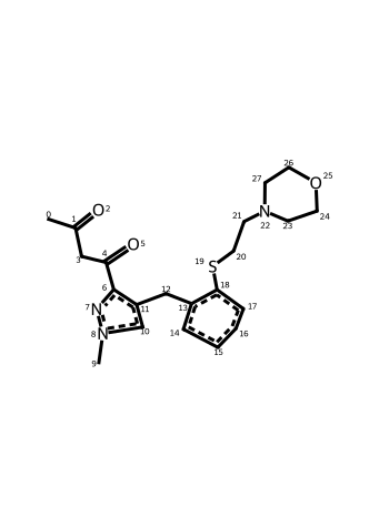 CC(=O)CC(=O)c1nn(C)cc1Cc1ccccc1SCCN1CCOCC1